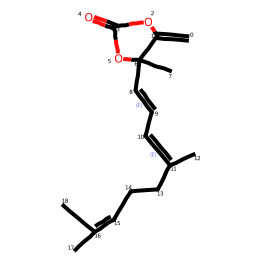 C=C1OC(=O)OC1(C)/C=C/C=C(\C)CCC=C(C)C